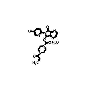 C=CC(=O)N1CCN(C(=O)OC2c3nccnc3C(=O)N2c2ccc(Cl)cn2)CC1.O